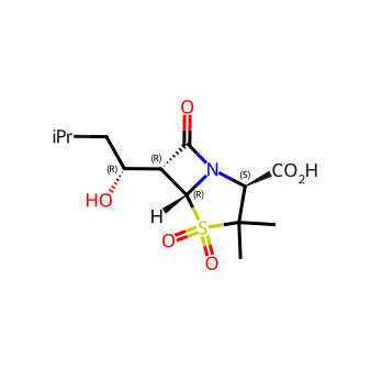 CC(C)C[C@@H](O)[C@@H]1C(=O)N2[C@@H](C(=O)O)C(C)(C)S(=O)(=O)[C@H]12